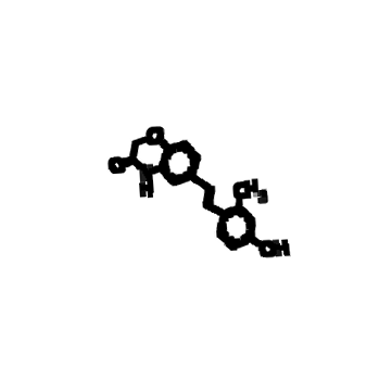 Cc1cc(O)ccc1C=Cc1ccc2c(c1)NC(=O)CO2